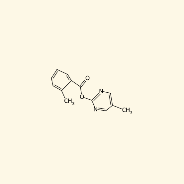 Cc1cnc(OC(=O)c2ccccc2C)nc1